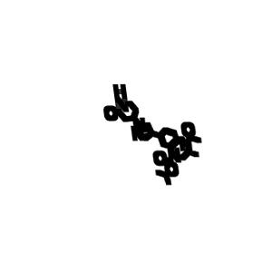 CC(=O)N1c2ccc(-c3cnn(C4CCNC(=O)C4)c3)cc2N(C(=O)OC(C)C)C[C@@H]1C